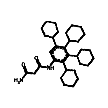 NC(=O)CC(=O)Nc1cc(C2CCCCC2)c(C2CCCCC2)c(C2CCCCC2)c1C1CCCCC1